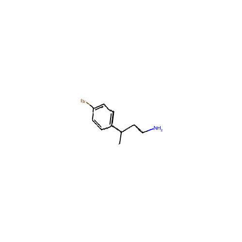 CC(CCN)c1ccc(Br)cc1